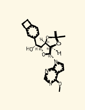 COc1ncnc2c1ccn2[C@@H]1O[C@H]([C@H](O)c2ccc3c(c2)CC3)[C@H]2OC(C)(C)O[C@H]21